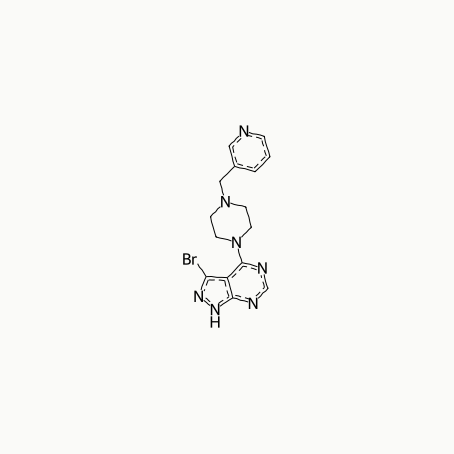 Brc1n[nH]c2ncnc(N3CCN(Cc4cccnc4)CC3)c12